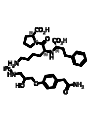 CC(C)NCC(O)COc1ccc(CC(N)=O)cc1.NCCCC[C@H](N[C@@H](CCc1ccccc1)C(=O)O)C(=O)N1CCC[C@H]1C(=O)O